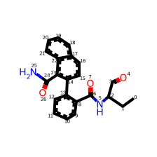 CCC(C=O)NC(=O)c1ccccc1-c1ccc2ccccc2c1C(N)=O